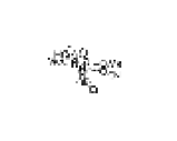 COC[C@]1(O)CCCC[C@H]1n1cnc(C(=O)N2CCN(C(=O)OCc3ccccc3)C[C@H]2CCOc2ccc(C#N)cc2OC)c1-c1ccccc1